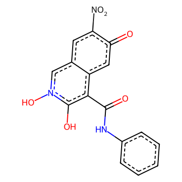 O=C(Nc1ccccc1)c1c2cc(=O)c([N+](=O)[O-])cc-2cn(O)c1O